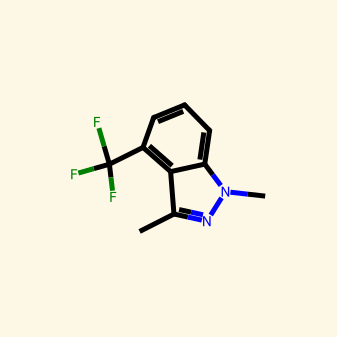 Cc1nn(C)c2cccc(C(F)(F)F)c12